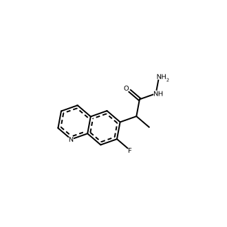 CC(C(=O)NN)c1cc2cccnc2cc1F